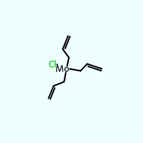 C=C[CH2][Mo]([Cl])([CH2]C=C)[CH2]C=C